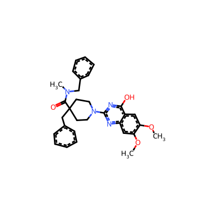 COc1cc2nc(N3CCC(Cc4ccccc4)(C(=O)N(C)Cc4ccccc4)CC3)nc(O)c2cc1OC